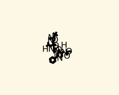 COC(=O)Nc1cnc(-c2ccccc2)n(CC(=O)N[C@H](C(=O)c2nnc(C(C)(C)C)o2)C(C)C)c1=O